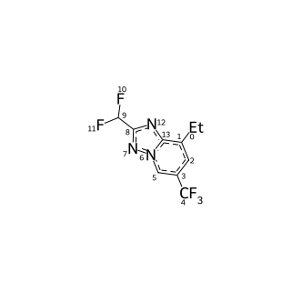 CCc1cc(C(F)(F)F)cn2nc(C(F)F)nc12